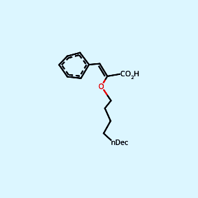 CCCCCCCCCCCCCCOC(=Cc1ccccc1)C(=O)O